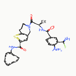 CC[C@@H](NC(=O)c1ccc(N)c(C(=N)F)c1)C(=O)N1CCc2sc(C(=O)Nc3ccccc3)cc2C1